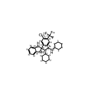 O=C(NC1CCCCC1)C(C1CCCCC1)C1(c2ccc(C(F)(F)F)c(Cl)c2)Nc2ccccc2N1